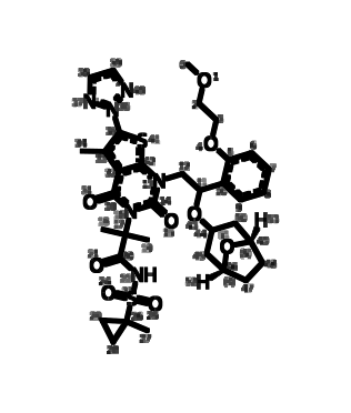 COCCOc1ccccc1C(Cn1c(=O)n(C(C)(C)C(=O)NS(=O)(=O)C2(C)CC2)c(=O)c2c(C)c(-n3nccn3)sc21)OC1C[C@H]2CC[C@@H](C1)O2